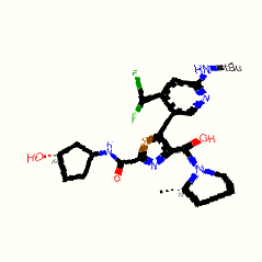 C[C@H]1CCCN1C(O)c1nc(C(=O)NC2CC[C@H](O)C2)sc1-c1cnc(NC(C)(C)C)cc1C(F)F